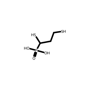 O=P(O)(O)C(S)CCS